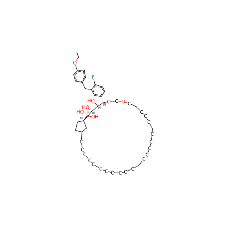 CCOc1ccc(Cc2cc([C@@H]3OCOCCCCCCCCCCCCCCCCCCCCCCCC4CC[C@@](CO)(C4)[C@H](O)[C@H](O)[C@H]3O)ccc2F)cc1